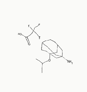 CC(C)OC12CC3CC(CC(N)(C3)C1)C2.O=C(O)C(F)(F)F